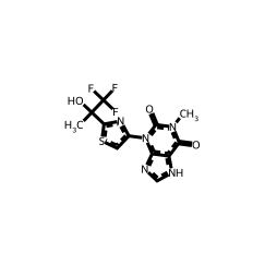 Cn1c(=O)c2[nH]cnc2n(-c2csc(C(C)(O)C(F)(F)F)n2)c1=O